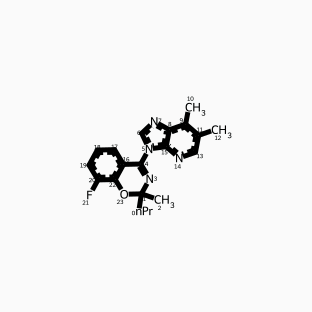 CCCC1(C)N=C(n2cnc3c(C)c(C)cnc32)c2cccc(F)c2O1